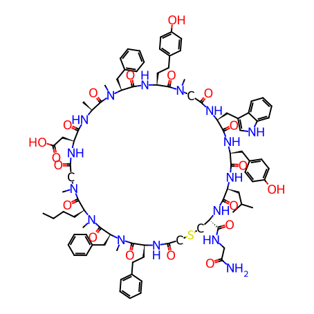 CCCC[C@H]1C(=O)N(C)CC(=O)N[C@@H](CC(=O)O)C(=O)N[C@@H](C)C(=O)N(C)[C@@H](Cc2ccccc2)C(=O)N[C@@H](CCc2ccc(O)cc2)C(=O)N(C)CC(=O)N[C@@H](Cc2c[nH]c3ccccc23)C(=O)N[C@@H](Cc2ccc(O)cc2)C(=O)N[C@@H](CC(C)C)C(=O)N[C@H](C(=O)NCC(N)=O)CSCC(=O)N[C@@H](CCc2ccccc2)C(=O)N(C)[C@@H](Cc2ccccc2)C(=O)N1C